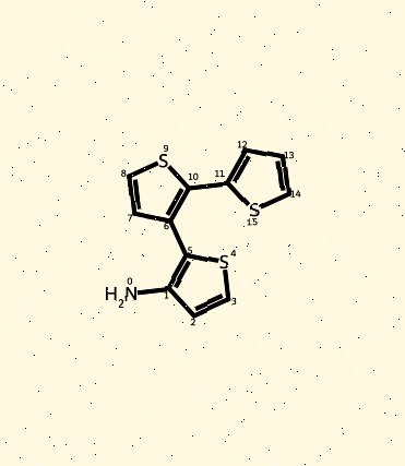 Nc1ccsc1-c1ccsc1-c1cccs1